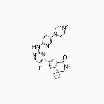 CN1CCN(c2ccc(Nc3ncc(F)c(-c4cc5c(s4)C4(CCC4)CN(C)C5=O)n3)nc2)CC1